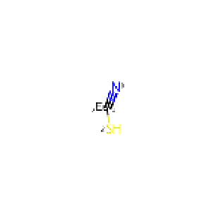 N#CS.[Eu]